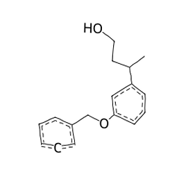 CC(CCO)c1cccc(OCc2ccccc2)c1